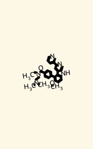 CCN(CCN(C)C)C(=O)c1ccc(-c2c(OC)ccc3[nH]c4cnc(-c5cccnc5)cc4c23)cc1